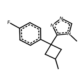 CC1CC(c2ccc(F)cc2)(c2nncn2C)C1